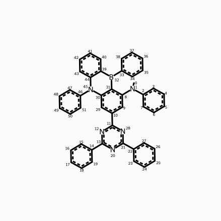 CN(c1ccccc1)c1cc(-c2nc(-c3ccccc3)nc(-c3ccccc3)n2)cc2c1B(c1ccccc1)c1ccccc1N2c1ccccc1